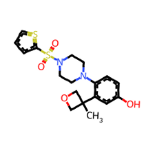 CC1(c2cc(O)ccc2N2CCN(S(=O)(=O)c3cccs3)CC2)COC1